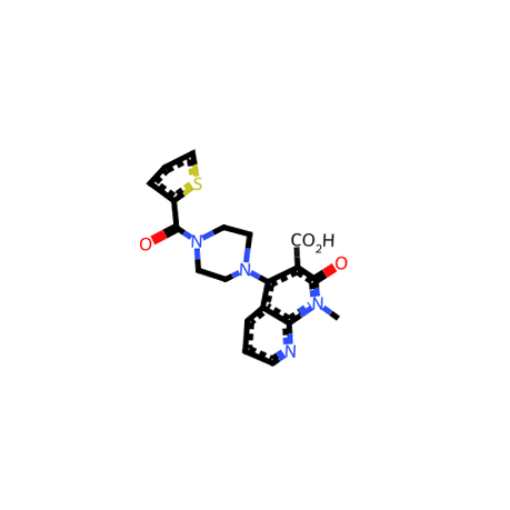 Cn1c(=O)c(C(=O)O)c(N2CCN(C(=O)c3cccs3)CC2)c2cccnc21